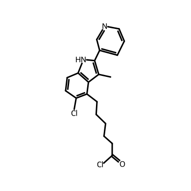 Cc1c(-c2cccnc2)[nH]c2ccc(Cl)c(CCCCCC(=O)Cl)c12